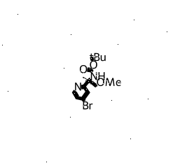 COC[C@](C)(NC(=O)OC(C)(C)C)c1cc(Br)ccn1